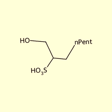 CCCCCCC(CO)S(=O)(=O)O